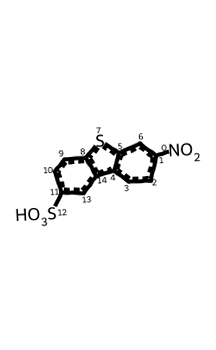 O=[N+]([O-])c1ccc2c(c1)sc1ccc(S(=O)(=O)O)cc12